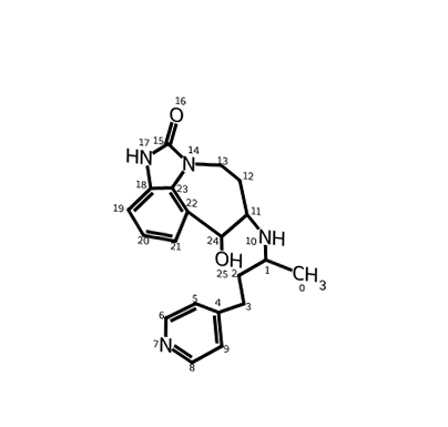 CC(CCc1ccncc1)NC1CCn2c(=O)[nH]c3cccc(c32)C1O